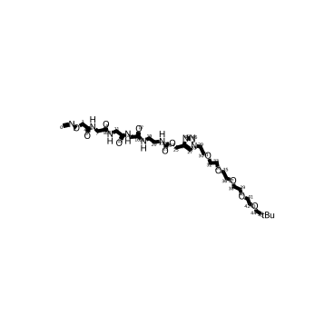 C=NOCC(=O)NCC(=O)NCC(=O)NCC(=O)NCCNC(=O)OCc1cn(CCOCCOCCOCCOCCOCC(C)(C)C)nn1